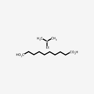 CCN(C)C.O=C(O)CCCCCCCCC(=O)O